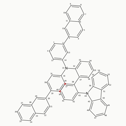 c1cc(-c2ccc3ccccc3c2)cc(N(c2ccc(-c3ccc4ccccc4c3)cc2)c2ccccc2-c2ccccc2-n2c3ccccc3c3ccccc32)c1